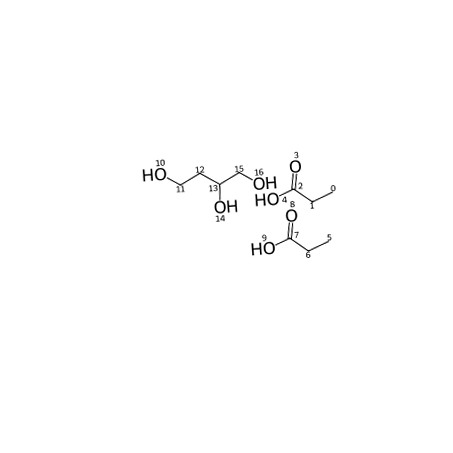 CCC(=O)O.CCC(=O)O.OCCC(O)CO